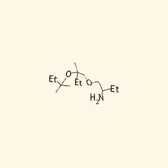 CCC(N)COCC(C)(CC)OC(C)(C)CC